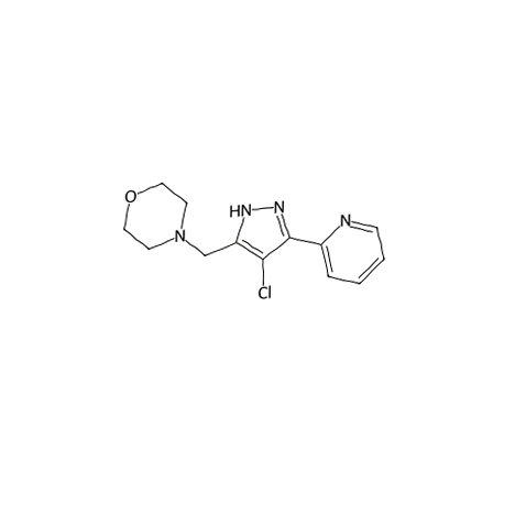 Clc1c(-c2ccccn2)n[nH]c1CN1CCOCC1